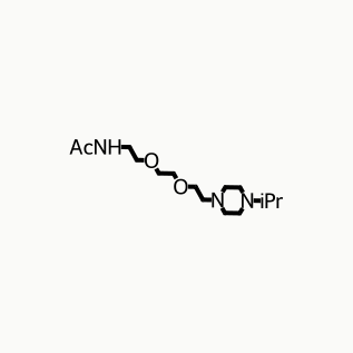 CC(=O)NCCOCCOCCN1CCN(C(C)C)CC1